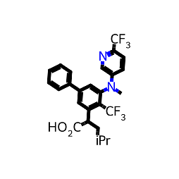 CC(C)CC(C(=O)O)c1cc(-c2ccccc2)cc(N(C)c2ccc(C(F)(F)F)nc2)c1C(F)(F)F